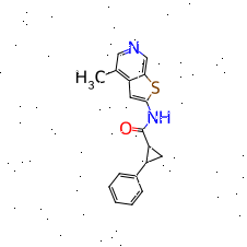 Cc1cncc2sc(NC(=O)C3CC3c3ccccc3)cc12